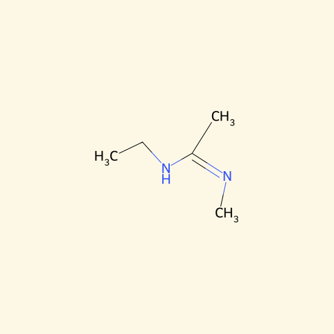 CCN/C(C)=N\C